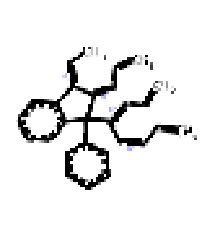 C=C/C=C\C(=C/C=C)C1(c2ccccc2)C(=C/C=C)/C(=C\C)c2ccccc21